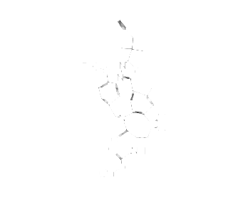 C#CCC(C)(C)c1nnc(-c2cc3c(cc2F)S(=O)(=O)C[C@H](NC(=O)OC(C)(C)C)C(=O)N3Cc2ccc(OC(F)(F)F)cc2)o1